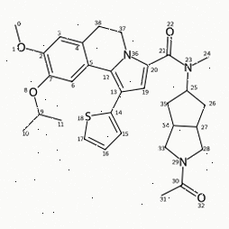 COc1cc2c(cc1OC(C)C)-c1c(-c3cccs3)cc(C(=O)N(C)C3CC4CN(C(C)=O)CC4C3)n1CC2